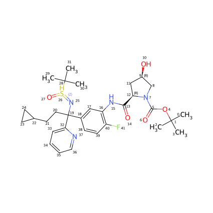 CC(C)(C)OC(=O)N1C[C@H](O)C[C@@H]1C(=O)Nc1cc(C(CCC2CC2)(/N=[SH](=O)/C(C)(C)C)c2ccccn2)ccc1F